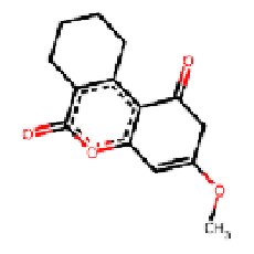 COC1=Cc2oc(=O)c3c(c2C(=O)C1)CCCC3